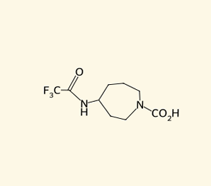 O=C(O)N1CCCC(NC(=O)C(F)(F)F)CC1